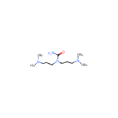 CCCCN(CCCC)CCCN(CCCN(CCCC)CCCC)C(N)=O